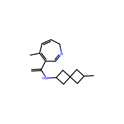 C=C(NC1CC2(CC(C)C2)C1)C1=C(C)C=CCN=C1